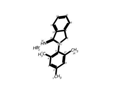 Br.Cc1cc(C)c(N2Cc3ccccc3C2=N)c(C)c1